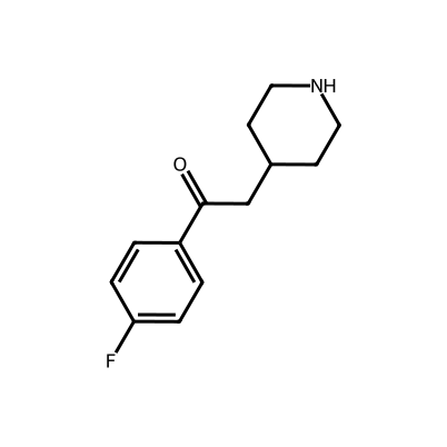 O=C(CC1CCNCC1)c1ccc(F)cc1